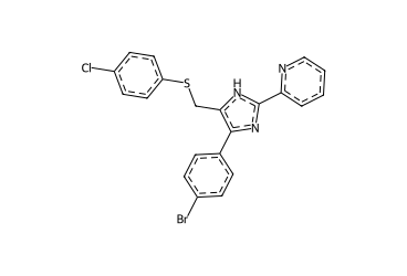 Clc1ccc(SCc2[nH]c(-c3ccccn3)nc2-c2ccc(Br)cc2)cc1